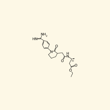 CCOC(=O)C[C@H](C)NC(=O)CC1CCCN(c2ccc(C(=N)N)cc2)C1=O